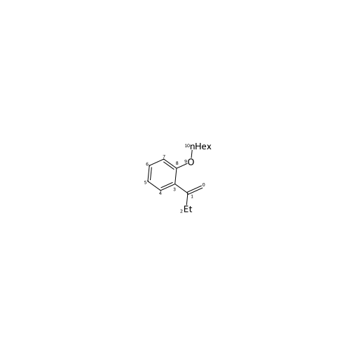 C=C(CC)c1ccccc1OCCCCCC